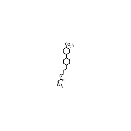 C=CC(=O)OCCCC1CCC(C2CCC(C(=O)O)CC2)CC1